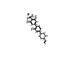 C=CC1CCC(c2ccc(-c3cc(F)c(C(F)(F)F)c(F)c3)c(F)c2)CC1